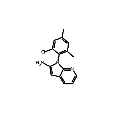 Cc1cc(C)c(-n2c(N)cc3cccnc32)c(Cl)c1